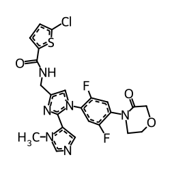 Cn1cncc1-c1nc(CNC(=O)c2ccc(Cl)s2)cn1-c1cc(F)c(N2CCOCC2=O)cc1F